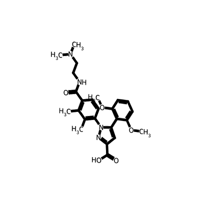 COc1cccc(OC)c1-c1cc(C(=O)O)nn1-c1ccc(C(=O)NCCN(C)C)c(C)c1C